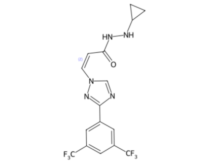 O=C(/C=C\n1cnc(-c2cc(C(F)(F)F)cc(C(F)(F)F)c2)n1)NNC1CC1